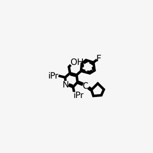 CC(C)C1=NC(C(C)C)C(CO)=C(c2ccc(F)cc2)C1=C=C1CCCC1